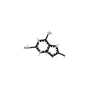 CNc1nc(O)c2sc(C)cc2n1